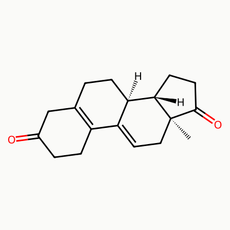 C[C@]12CC=C3C4=C(CC[C@H]3[C@@H]1CCC2=O)CC(=O)CC4